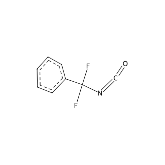 O=C=NC(F)(F)c1ccccc1